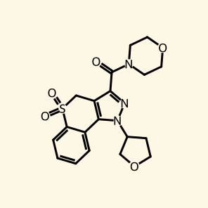 O=C(c1nn(C2CCOC2)c2c1CS(=O)(=O)c1ccccc1-2)N1CCOCC1